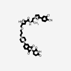 C[C@H](Cn1ccc(-c2ccc(C#N)c(Cl)c2)n1)NC(=O)c1cc(COCCCN2CCN(c3ccc4c(c3)C(=O)N(C3CCC(=O)NC3=O)C4=O)CC2)[nH]n1